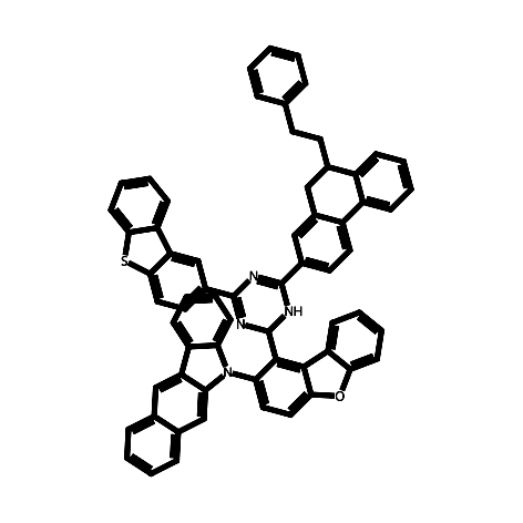 c1ccc(CCC2Cc3cc(C4=NC(c5ccc6sc7ccccc7c6c5)=NC(c5c(-n6c7ccccc7c7cc8ccccc8cc76)ccc6oc7ccccc7c56)N4)ccc3-c3ccccc32)cc1